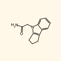 NC(=O)Cn1c2c(c3ccccc31)CCC2